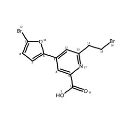 O=C(O)c1cc(-c2ccc(Br)o2)cc(CCBr)n1